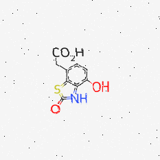 O=C(O)Cc1ccc(O)c2[nH]c(=O)sc12